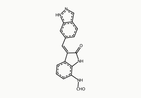 O=CNc1cccc2c1NC(=O)C2=Cc1ccc2cn[nH]c2c1